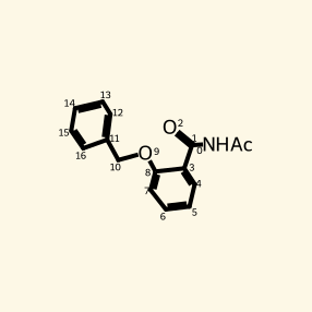 CC(=O)NC(=O)c1ccccc1OCc1ccccc1